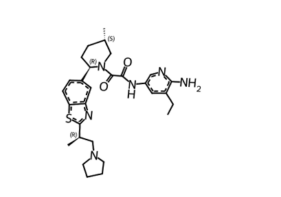 CCc1cc(NC(=O)C(=O)N2C[C@@H](C)CC[C@@H]2c2ccc3sc([C@H](C)CN4CCCC4)nc3c2)cnc1N